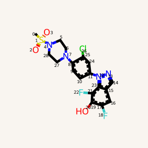 CS(=O)(=O)N1CCN(c2ccc(-n3ncc4cc(F)c(O)c(F)c43)cc2Cl)CC1